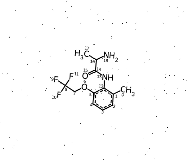 Cc1cccc(OCC(F)(F)F)c1NC(=O)C(C)N